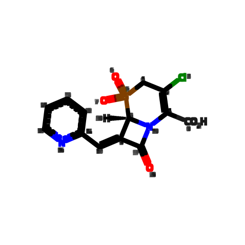 O=C(O)C1=C(Cl)CS(=O)(=O)[C@@H]2/C(=C\c3ccccn3)C(=O)N12